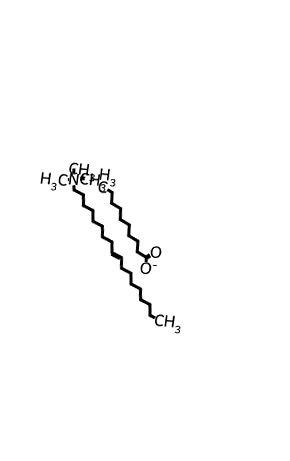 CCCCCCCCC=CCCCCCCCC[N+](C)(C)C.CCCCCCCCCC(=O)[O-]